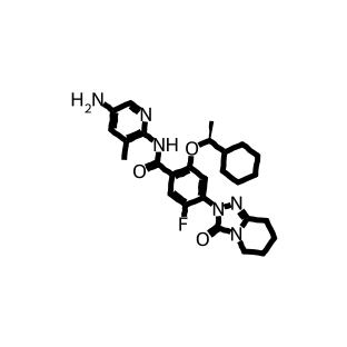 Cc1cc(N)cnc1NC(=O)c1cc(F)c(-n2nc3n(c2=O)CCCC3)cc1O[C@@H](C)C1CCCCC1